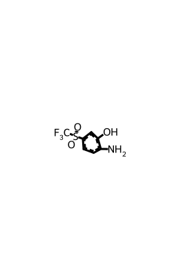 Nc1ccc(S(=O)(=O)C(F)(F)F)cc1O